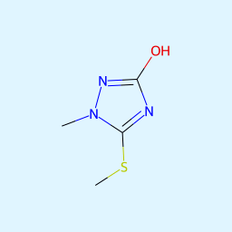 CSc1nc(O)nn1C